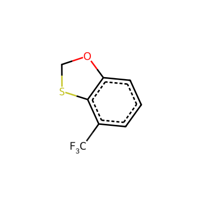 FC(F)(F)c1cccc2c1SCO2